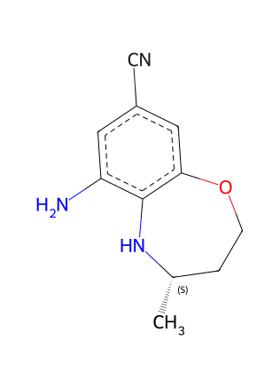 C[C@H]1CCOc2cc(C#N)cc(N)c2N1